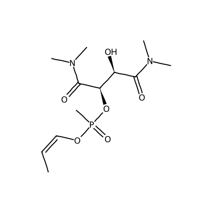 C/C=C\OP(C)(=O)O[C@@H](C(=O)N(C)C)[C@@H](O)C(=O)N(C)C